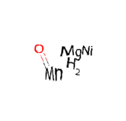 [MgH2].[Ni].[O]=[Mn]